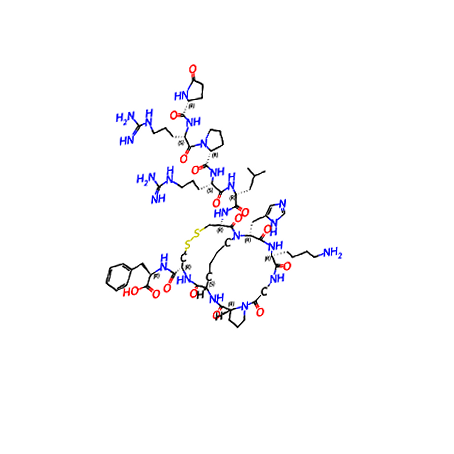 CC(C)C[C@@H](NC(=O)[C@H](CCCNC(=N)N)NC(=O)[C@H]1CCCN1C(=O)[C@H](CCCNC(=N)N)NC(=O)[C@H]1CCC(=O)N1)C(=O)N[C@H]1CSSC[C@@H](C(=O)N[C@H](Cc2ccccc2)C(=O)O)NC(=O)[C@@H]2CCCCN(C1=O)[C@H](Cc1cnc[nH]1)C(=O)N[C@H](CCCCN)C(=O)NCC(=O)N1CCC[C@@H]1C(=O)N2